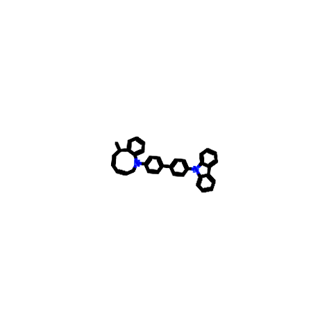 CC1/C=C\C=C/CN(c2ccc(-c3ccc(-n4c5ccccc5c5ccccc54)cc3)cc2)c2ccccc21